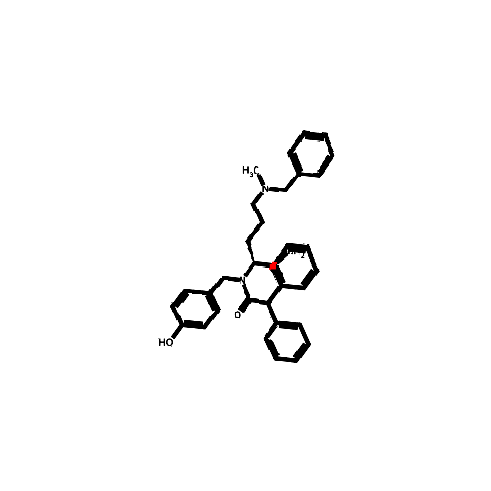 CN(CCC[C@@H](C(N)=O)N(Cc1ccc(O)cc1)C(=O)C(c1ccccc1)c1ccccc1)Cc1ccccc1